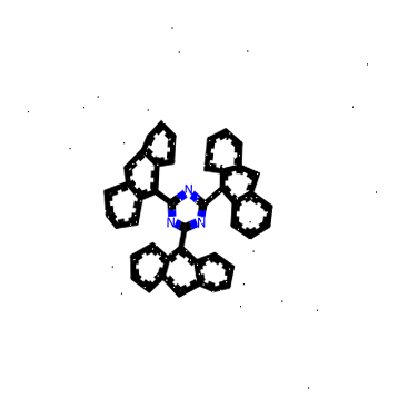 c1ccc2c(-c3nc(-c4c5ccccc5cc5ccccc45)nc(-c4c5ccccc5cc5ccccc45)n3)c3ccccc3cc2c1